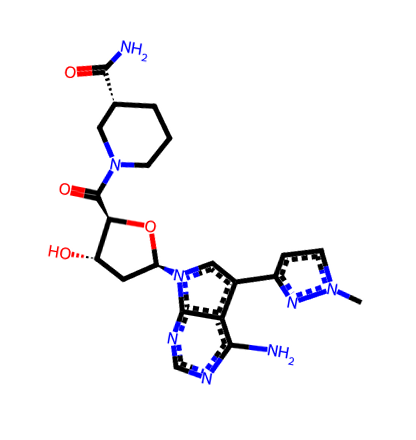 Cn1ccc(-c2cn([C@H]3C[C@H](O)[C@@H](C(=O)N4CCC[C@@H](C(N)=O)C4)O3)c3ncnc(N)c23)n1